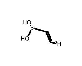 [2H]C=CB(O)O